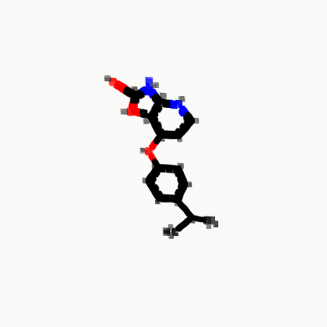 CC(C)c1ccc(Oc2ccnc3[nH]c(=O)oc23)cc1